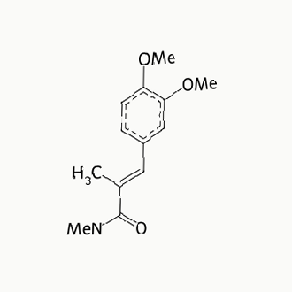 CNC(=O)/C(C)=C/c1ccc(OC)c(OC)c1